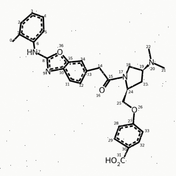 Cc1ccccc1Nc1nc2ccc(CC(=O)N3C[C@@H](N(C)C)C[C@H]3COc3ccc(C(=O)O)cc3)cc2o1